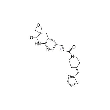 O=C(/C=C/c1cnc2c(c1)CC1(COC1)C(=O)N2)N1CCC(=Cc2ncco2)CC1